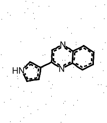 c1ccc2nc(-c3cc[nH]c3)cnc2c1